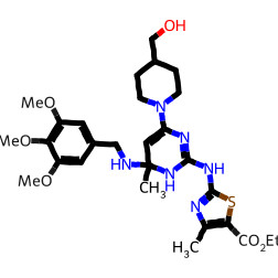 CCOC(=O)c1sc(NC2=NC(N3CCC(CO)CC3)=CC(C)(NCc3cc(OC)c(OC)c(OC)c3)N2)nc1C